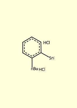 CCCCc1cccc[c]1[Sn].Cl.Cl